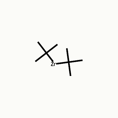 C[C](C)(C)[Zr][C](C)(C)C